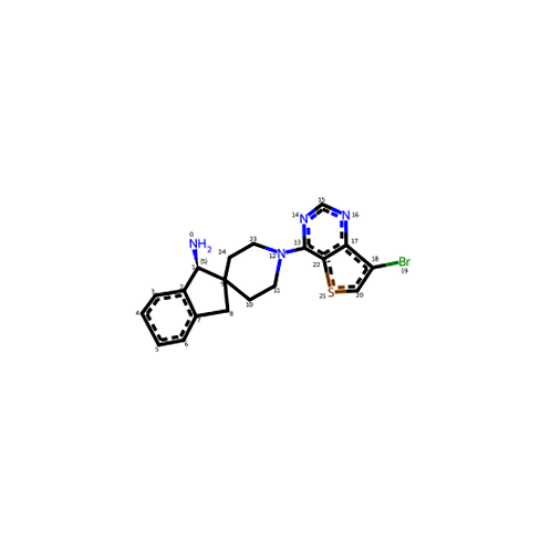 N[C@@H]1c2ccccc2CC12CCN(c1ncnc3c(Br)csc13)CC2